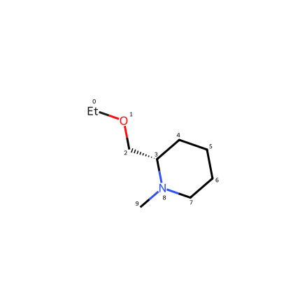 CCOC[C@@H]1CCCCN1C